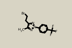 Cc1nn(-c2ccc(C(F)(F)F)cc2)nc1CCBr